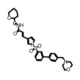 O=C(C=Cc1ccn(S(=O)(=O)c2cccc(-c3ccc(CN4CCOCC4)cc3)c2)c1)NOC1CCCCO1